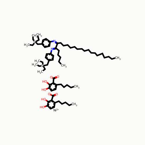 CCCCCCCCCCCCCCCCCC(=Nc1ccc(C[Si](CC)(CC)CC)cc1)C(CCCCC)=Nc1ccc(C[Si](CC)(CC)CC)cc1.CCCCCc1ccc(O)c(O)c1C(=O)[O-].CCCCCc1ccc(O)c(O)c1C(=O)[O-].[Ni+2]